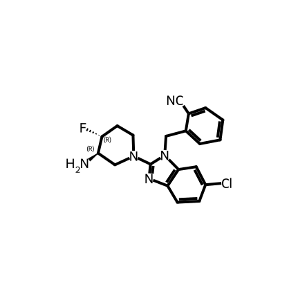 N#Cc1ccccc1Cn1c(N2CC[C@@H](F)[C@H](N)C2)nc2ccc(Cl)cc21